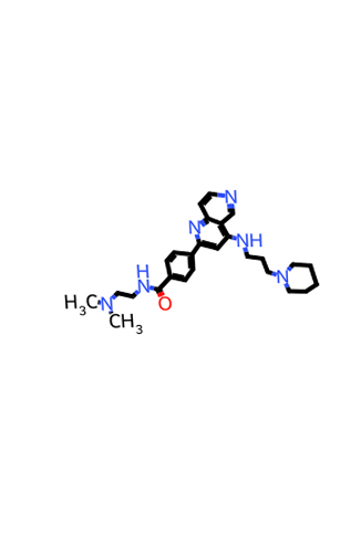 CN(C)CCNC(=O)c1ccc(-c2cc(NCCCN3CCCCC3)c3cnccc3n2)cc1